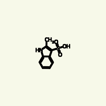 Cc1[nH]c2ccccc2c1S(=O)(=O)O